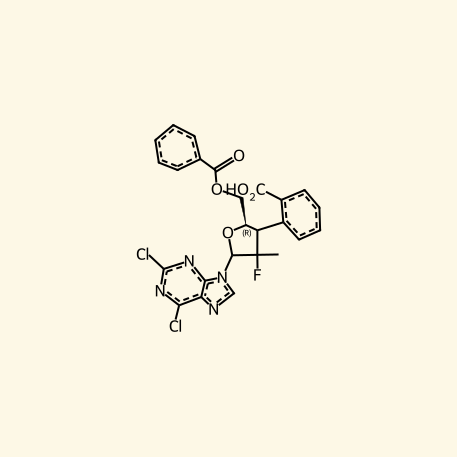 CC1(F)C(c2ccccc2C(=O)O)[C@H](COC(=O)c2ccccc2)OC1n1cnc2c(Cl)nc(Cl)nc21